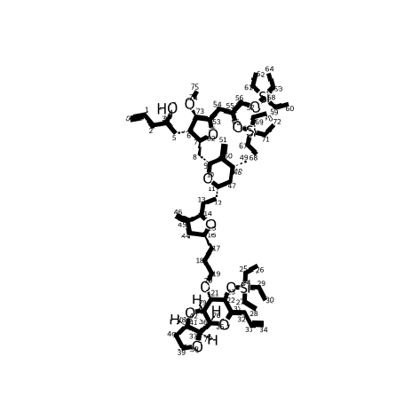 C=CCC(O)C[C@H]1[C@H](C[C@H]2O[C@@H](CCC3O[C@@H](CCCO[C@H]4C(O[Si](CC)(CC)CC)C(CC=C)O[C@H]5[C@H]6OCC[C@H]6O[C@H]54)CC3=C)C[C@@H](C)C2=C)OC(CC(CO[Si](CC)(CC)CC)O[Si](CC)(CC)CC)[C@@H]1OC